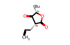 C=CC[C@H]1C(=O)O[C@@H](C(C)(C)C)C1=O